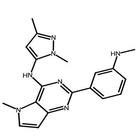 CNc1cccc(-c2nc(Nc3cc(C)nn3C)c3c(ccn3C)n2)c1